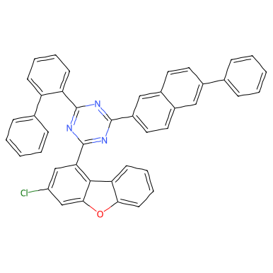 Clc1cc(-c2nc(-c3ccc4cc(-c5ccccc5)ccc4c3)nc(-c3ccccc3-c3ccccc3)n2)c2c(c1)oc1ccccc12